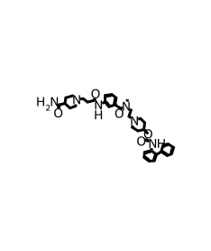 CN(CCN1CCC(OC(=O)Nc2ccccc2-c2ccccc2)CC1)C(=O)c1cccc(NC(=O)CCN2CCC(C(N)=O)CC2)c1